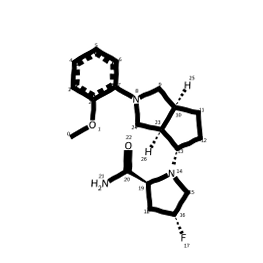 COc1ccccc1N1C[C@H]2CC[C@H](N3C[C@H](F)C[C@H]3C(N)=O)[C@H]2C1